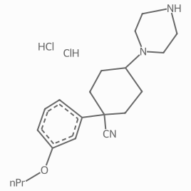 CCCOc1cccc(C2(C#N)CCC(N3CCNCC3)CC2)c1.Cl.Cl